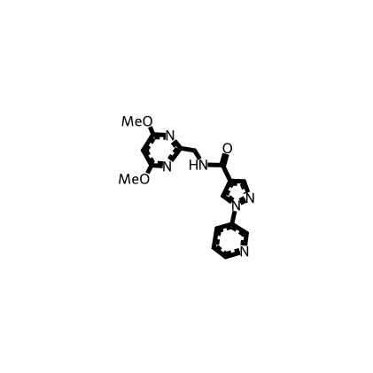 COc1cc(OC)nc(CNC(=O)c2cnn(-c3cccnc3)c2)n1